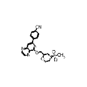 CS(=O)(=O)N1CCOC(COc2nc(-c3ccc(C#N)cc3)cc3nccnc23)C1